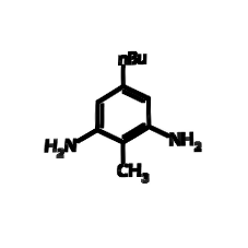 CCCCc1cc(N)c(C)c(N)c1